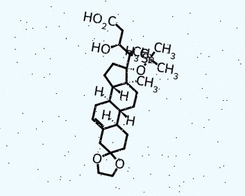 C=C([C@@H](O)CC(=O)O)[C@]1(O[Si](C)(C)C)CC[C@H]2[C@@H]3CC=C4CC5(CC[C@@H]4[C@H]3CC[C@@]21C)OCCO5